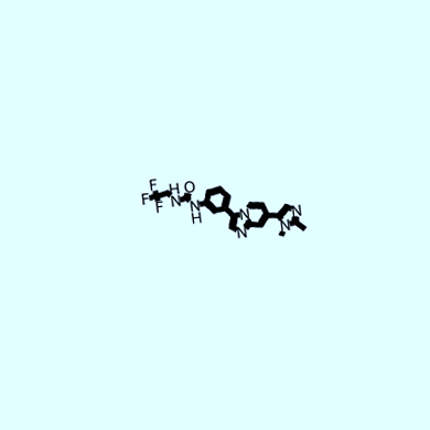 Cc1ncc(-c2ccn3c(-c4cccc(NC(=O)NCC(F)(F)F)c4)cnc3c2)n1C